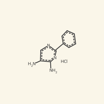 Cl.Nc1cnc(-c2ccccc2)nc1N